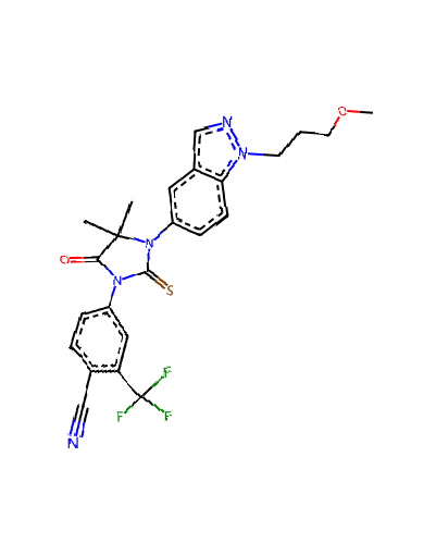 COCCCn1ncc2cc(N3C(=S)N(c4ccc(C#N)c(C(F)(F)F)c4)C(=O)C3(C)C)ccc21